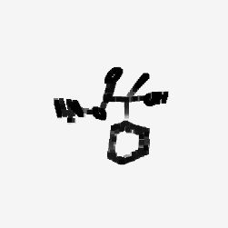 C[C@](O)(C(=O)ON)c1ccccc1